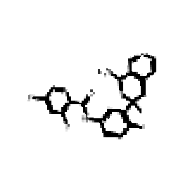 CC1(c2cc(NC(=O)c3ncc(F)cc3F)ccc2F)Cc2ccncc2C(N)=N1